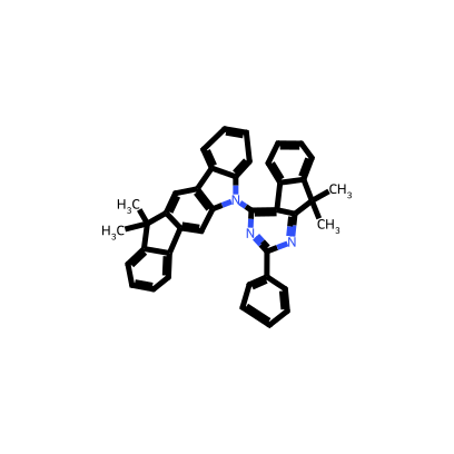 CC1(C)c2ccccc2-c2cc3c(cc21)c1ccccc1n3-c1nc(-c2ccccc2)nc2c1-c1ccccc1C2(C)C